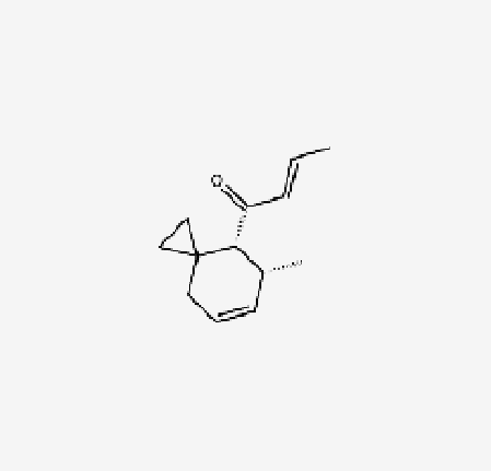 C/C=C/C(=O)[C@@H]1[C@H](C)C=CCC12CC2